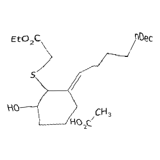 CC(=O)O.CCCCCCCCCCCCCC=C1CCCC(O)C1SCC(=O)OCC